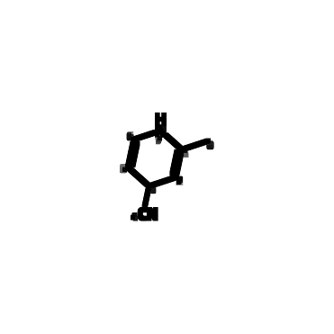 CC1=CC(C#N)C=CN1